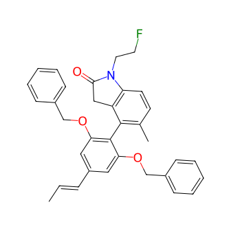 CC=Cc1cc(OCc2ccccc2)c(-c2c(C)ccc3c2CC(=O)N3CCF)c(OCc2ccccc2)c1